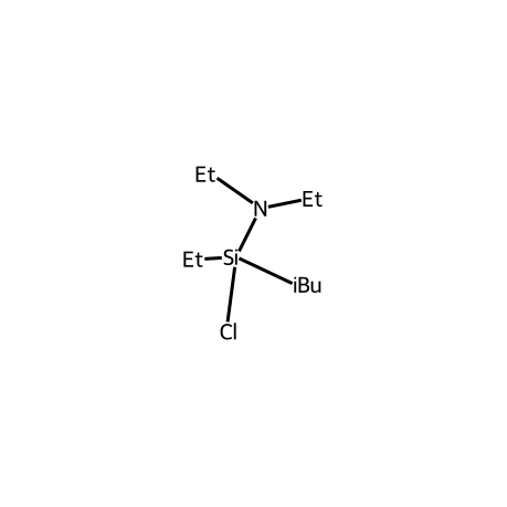 CCC(C)[Si](Cl)(CC)N(CC)CC